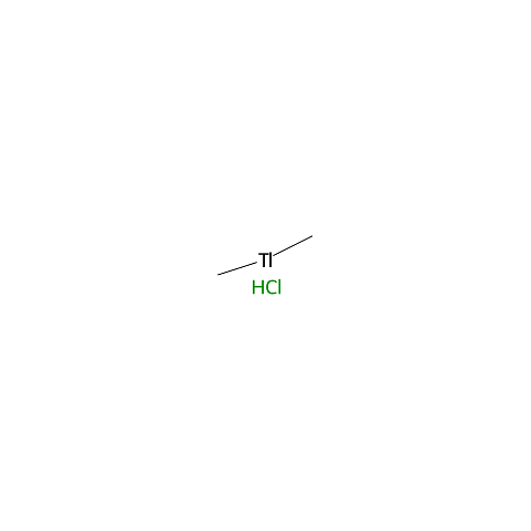 Cl.[CH3][Tl][CH3]